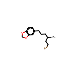 CCCCC(CCBr)CCCc1ccc2c(c1)OCO2